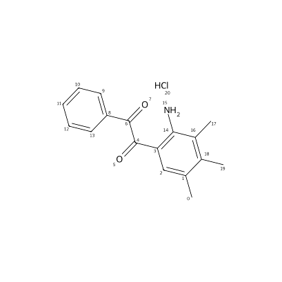 Cc1cc(C(=O)C(=O)c2ccccc2)c(N)c(C)c1C.Cl